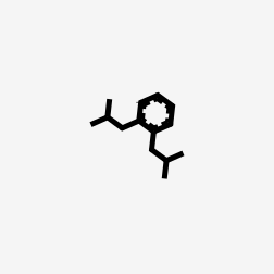 CC(C)Cc1[c]cccc1CC(C)C